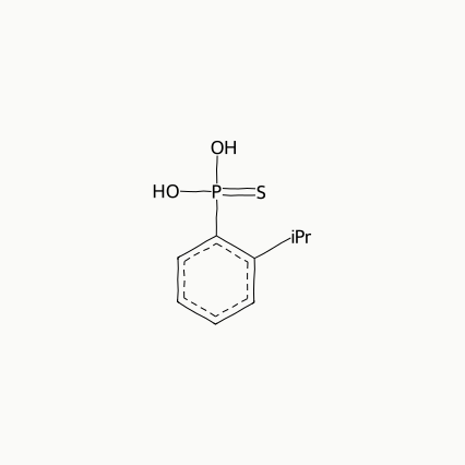 CC(C)c1ccccc1P(O)(O)=S